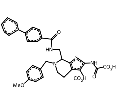 COc1ccc(CN2CCc3c(sc(NC(=O)C(=O)O)c3C(=O)O)C2CNC(=O)c2ccc(-c3ccccc3)cc2)cc1